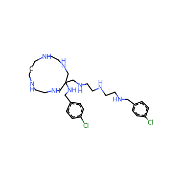 Clc1ccc(CNCCNCCNCC2(NCc3ccc(Cl)cc3)CNCCNCCCNCCNC2)cc1